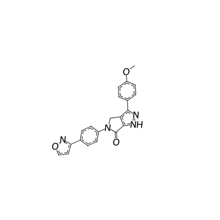 COc1ccc(-c2n[nH]c3c2CN(c2ccc(-c4ccon4)cc2)C3=O)cc1